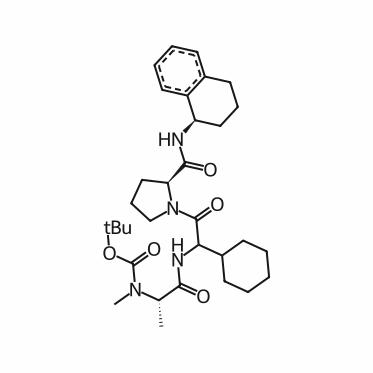 C[C@@H](C(=O)NC(C(=O)N1CCC[C@H]1C(=O)N[C@@H]1CCCc2ccccc21)C1CCCCC1)N(C)C(=O)OC(C)(C)C